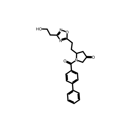 O=C1CC(CCc2nc(CCO)no2)N(C(=O)c2ccc(-c3ccccc3)cc2)C1